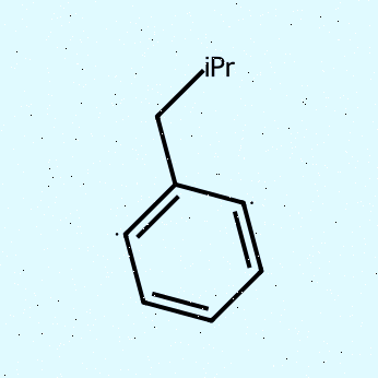 CC(C)Cc1[c]ccc[c]1